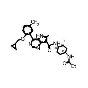 CCC(=O)N[C@H]1CC[C@@H](NC(=O)c2c(C)[nH]c3c(-c4cc(C(F)(F)F)ccc4OCC4CC4)ncnc23)[C@H](C)C1